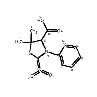 CC1(C)SC(=S(=O)=O)N(c2ccccn2)C1C(=O)O